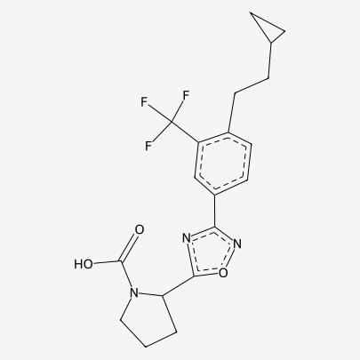 O=C(O)N1CCCC1c1nc(-c2ccc(CCC3CC3)c(C(F)(F)F)c2)no1